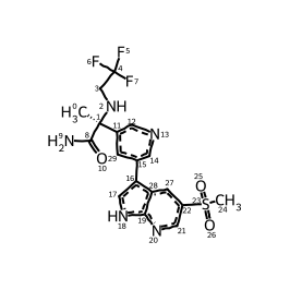 C[C@@](NCC(F)(F)F)(C(N)=O)c1cncc(-c2c[nH]c3ncc(S(C)(=O)=O)cc23)c1